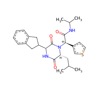 CC(C)C[C@@H]1C(=O)NC(C2Cc3ccccc3C2)C(=O)N1[C@@H](C(=O)NC(C)C)c1ccsc1